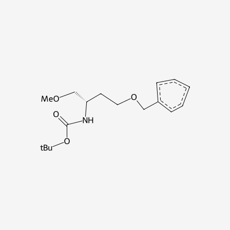 COC[C@H](CCOCc1ccccc1)NC(=O)OC(C)(C)C